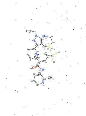 CCn1nc(-c2ccccn2)c2c1NCCS[C@@H]2c1ccc(C(=O)Nc2cccnc2C)cc1C(F)(F)F